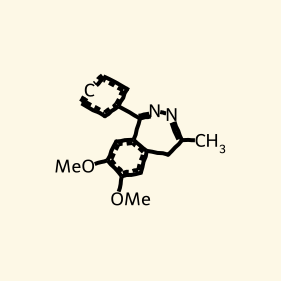 COc1cc2c(cc1OC)C(c1ccccc1)=NN=C(C)C2